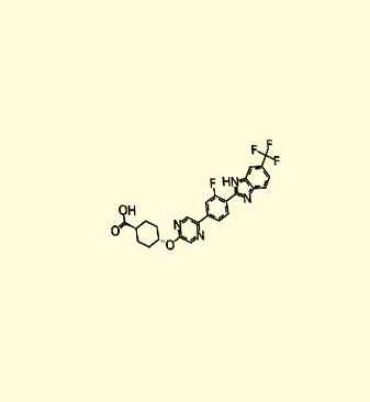 O=C(O)[C@H]1CC[C@H](Oc2cnc(-c3ccc(-c4nc5ccc(C(F)(F)F)cc5[nH]4)c(F)c3)cn2)CC1